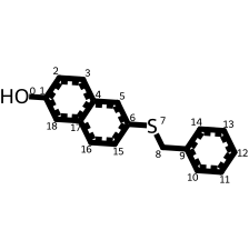 Oc1ccc2cc(SCc3ccccc3)ccc2c1